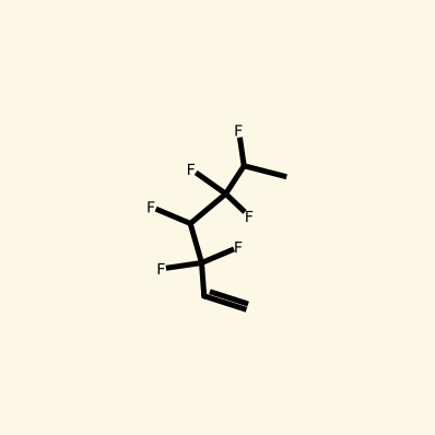 C=CC(F)(F)C(F)C(F)(F)C(C)F